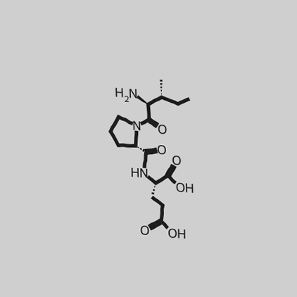 CC[C@@H](C)[C@H](N)C(=O)N1CCC[C@H]1C(=O)N[C@@H](CCC(=O)O)C(=O)O